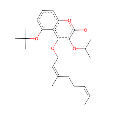 CC(C)=CCCC(C)=CCOc1c(OC(C)C)c(=O)oc2cccc(OC(C)(C)C)c12